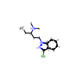 CC(C)CC(CCn1nc(Br)c2ccccc21)N(C)C